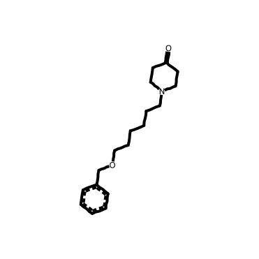 O=C1CCN(CCCCCCOCc2ccccc2)CC1